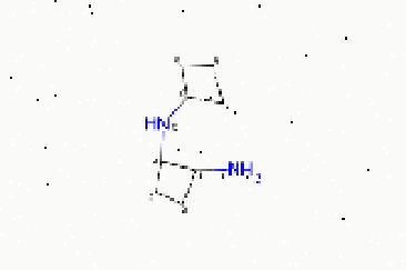 NC1CCC1NC1CCC1